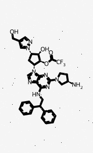 N[C@@H]1CCN(c2nc(NCC(c3ccccc3)c3ccccc3)c3ncn([C@@H]4C[C@H](n5cc(CO)cn5)[C@@H](O)[C@H]4OC(=O)C(F)(F)F)c3n2)C1